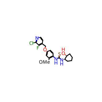 COc1cc(OCc2ccnc(Cl)c2F)ccc1NC(=S)N[C@H]1CCCC[C@@H]1O